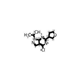 CC(C)n1ncc2c(Cl)nc(C3CCOC3)nc21